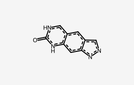 O=c1[nH]cc2cc3cnnc3cc2[nH]1